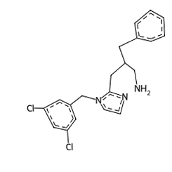 NCC(Cc1ccccc1)Cc1nccn1Cc1cc(Cl)cc(Cl)c1